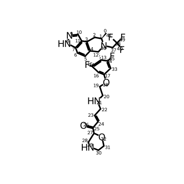 C[C@@H]1Cc2c(ccc3[nH]ncc23)[C@@H](c2c(F)cc(OCCNC/C=C/C(=O)C3CNCCO3)cc2F)N1CC(F)(F)F